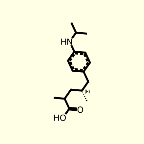 CC(C)Nc1ccc(C[C@H](C)CC(C)C(=O)O)cc1